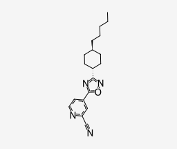 CCCCC[C@H]1CC[C@H](c2noc(-c3ccnc(C#N)c3)n2)CC1